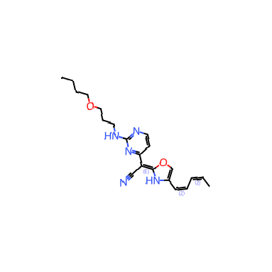 C/C=C\C=C/C1=CO/C(=C(/C#N)c2ccnc(NCCCOCCCC)n2)N1